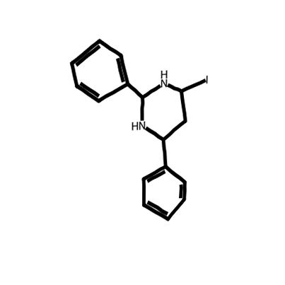 IC1CC(c2ccccc2)NC(c2ccccc2)N1